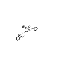 CC(C)(C)OC(=O)N(CCCSc1nc2ccccc2[nH]1)CCc1ccccc1